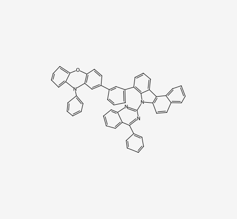 c1ccc(-c2nc(-n3c4ccc5ccccc5c4c4cccc(-c5cccc(-c6ccc7c(c6)N(c6ccccc6)c6ccccc6O7)c5)c43)nc3ccccc23)cc1